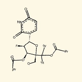 [2H]C([2H])(OC(=O)C(C)C)[C@@]1(CCl)O[C@@H](n2ccc(=O)[nH]c2=O)[C@H](F)[C@@H]1OC(=O)C(C)C